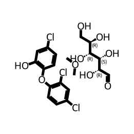 COC.O=C[C@H](O)[C@@H](O)[C@H](O)[C@H](O)CO.Oc1cc(Cl)ccc1Oc1ccc(Cl)cc1Cl